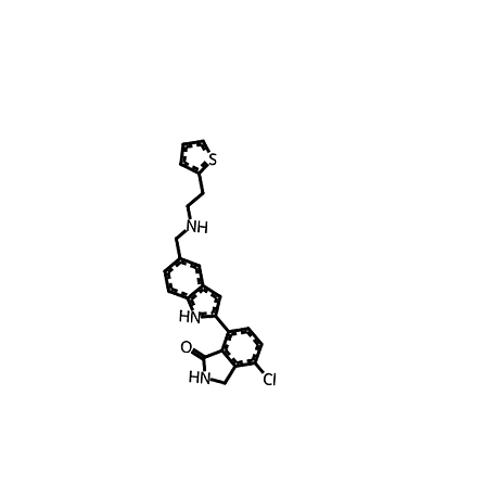 O=C1NCc2c(Cl)ccc(-c3cc4cc(CNCCc5cccs5)ccc4[nH]3)c21